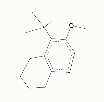 COc1ccc2c(c1C(C)(C)C)CCCC2